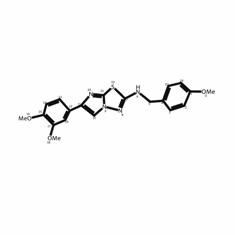 COc1ccc(CNc2nn3cc(-c4ccc(OC)c(OC)c4)nc3s2)cc1